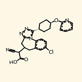 N#CC(C(=O)O)C1Cc2cc(Cl)ccc2-n2c(nnc2[C@H]2CC[C@H](Oc3ccccn3)CC2)C1